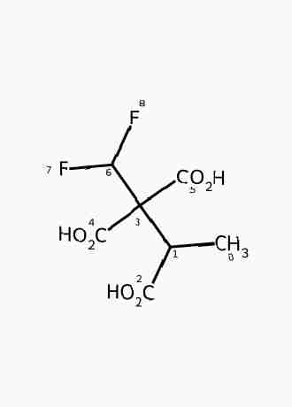 CC(C(=O)O)C(C(=O)O)(C(=O)O)C(F)F